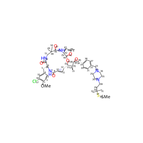 COc1ccc(C[C@H]2NC(=O)/C=C/C[C@@H]([C@H](C)[C@H]3O[C@@H]3c3ccc(CN4CCN(CCC(C)(C)SSC)CC4)cc3)OC(=O)[C@H](CC(C)C)NC(=O)C(C)(C)CNC2=O)cc1Cl